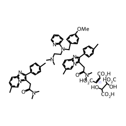 COc1ccc(CN(CCN(C)C)c2ccccn2)cc1.Cc1ccc(-c2nc3ccc(C)cn3c2CC(=O)N(C)C)cc1.Cc1ccc(-c2nc3ccc(C)cn3c2CC(=O)N(C)C)cc1.O=C(O)/C=C\C(=O)O.O=C(O)C(O)C(O)C(=O)O